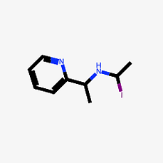 CC(I)NC(C)c1ccccn1